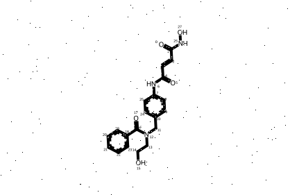 O=C(/C=C/C(=O)Nc1ccc(CN(CCO)C(=O)c2ccccc2)cc1)NO